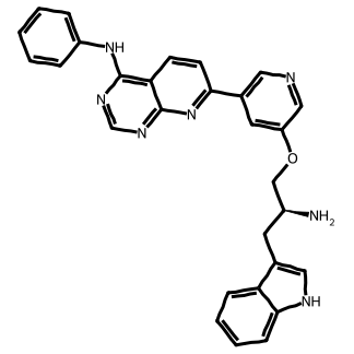 N[C@H](COc1cncc(-c2ccc3c(Nc4ccccc4)ncnc3n2)c1)Cc1c[nH]c2ccccc12